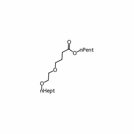 CCCCCCCOCCOCCCC(=O)OCCCCC